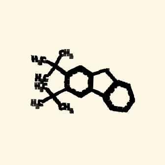 CC(C)(C)c1cc2c(cc1C(C)(C)C)-c1ccccc1[CH]2